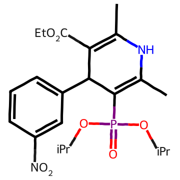 CCOC(=O)C1=C(C)NC(C)=C(P(=O)(OC(C)C)OC(C)C)C1c1cccc([N+](=O)[O-])c1